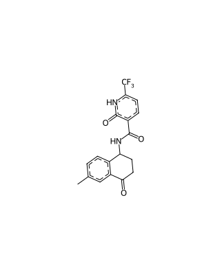 Cc1ccc2c(c1)C(=O)CCC2NC(=O)c1ccc(C(F)(F)F)[nH]c1=O